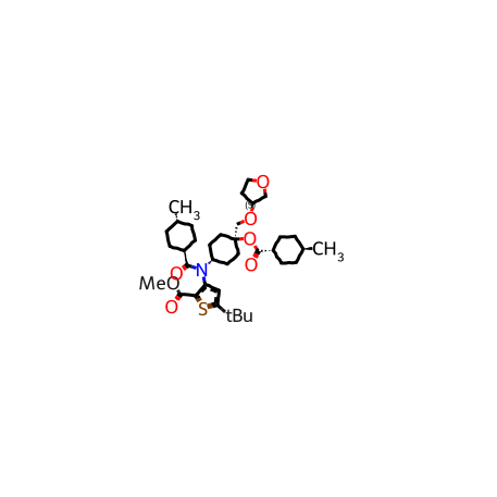 COC(=O)c1sc(C(C)(C)C)cc1N(C(=O)[C@H]1CC[C@H](C)CC1)[C@H]1CC[C@](CO[C@H]2CCOC2)(OC(=O)[C@H]2CC[C@H](C)CC2)CC1